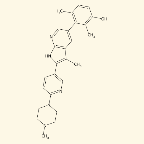 Cc1ccc(O)c(C)c1-c1cnc2[nH]c(-c3ccc(N4CCN(C)CC4)nc3)c(C)c2c1